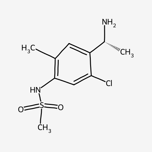 Cc1cc([C@@H](C)N)c(Cl)cc1NS(C)(=O)=O